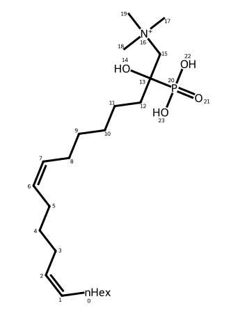 CCCCCC/C=C\CCC/C=C\CCCCCC(O)(C[N+](C)(C)C)P(=O)(O)O